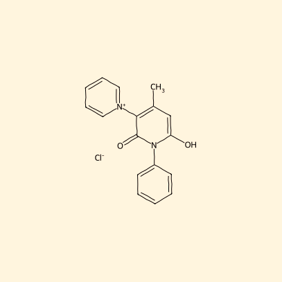 Cc1cc(O)n(-c2ccccc2)c(=O)c1-[n+]1ccccc1.[Cl-]